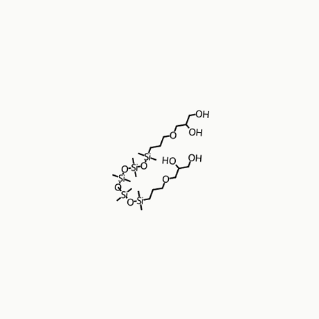 C[Si](C)(CCCOCC(O)CO)O[Si](C)(C)O[Si](C)(C)O[Si](C)(C)O[Si](C)(C)CCCOCC(O)CO